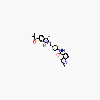 Cc1ccc2c(C(=O)N[C@H]3CC[C@H](CCN4[C@@H]5CC[C@H]4c4ccc(C(=O)C(C)C)cc45)CC3)cccc2n1